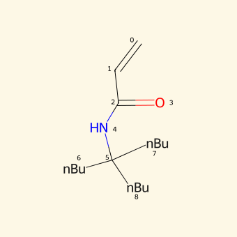 C=CC(=O)NC(CCCC)(CCCC)CCCC